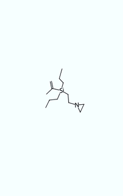 C=C(C)[Si](CCC)(CCC)CCN1CC1